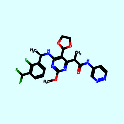 COc1nc(N[C@H](C)c2cccc(C(F)F)c2F)c(C2OCCO2)c(C(C)C(=O)Nc2ccnnc2)n1